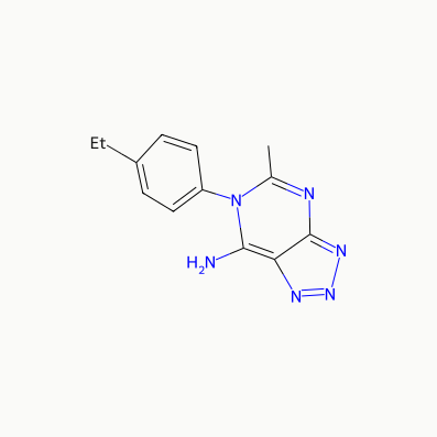 CCc1ccc(-n2c(C)nc3nnnc-3c2N)cc1